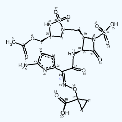 CC(=O)OC[C@@H]1CN(C[C@@H]2[C@H](NC(=O)/C(=N\OC3(C(=O)O)CC3)c3csc(N)n3)C(=O)N2S(=O)(=O)O)S(=O)(=O)N1